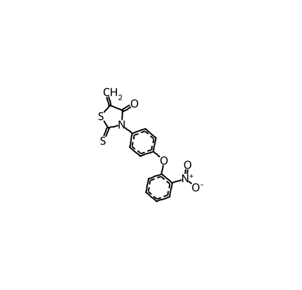 C=C1SC(=S)N(c2ccc(Oc3ccccc3[N+](=O)[O-])cc2)C1=O